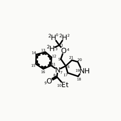 [2H]C([2H])([2H])OCC1(N(C(=O)CC)c2ccccc2)CCNCC1